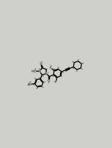 O=C1CN(C(=O)c2c(F)cc(C#CC3CCCCC3)cc2F)C(c2cccc(Br)c2)N1O